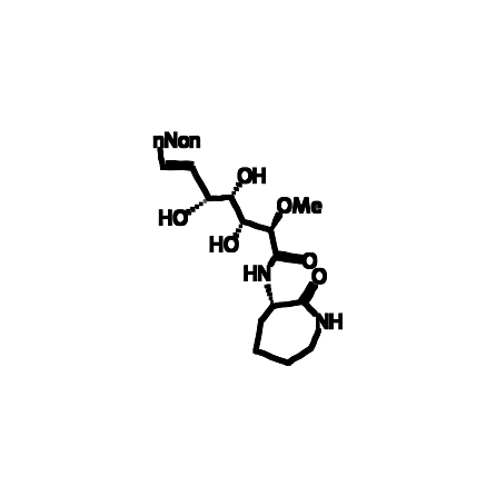 CCCCCCCCC/C=C/[C@@H](O)[C@H](O)[C@@H](O)[C@@H](OC)C(=O)N[C@H]1CCCCNC1=O